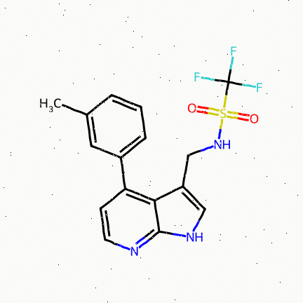 Cc1cccc(-c2ccnc3[nH]cc(CNS(=O)(=O)C(F)(F)F)c23)c1